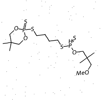 COCC(C)(C)CO[PH](=S)SCCCCSP1(=S)OCC(C)(C)CO1